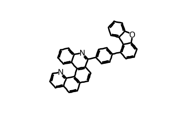 c1cnc2c(c1)ccc1ccc3c(-c4ccc(-c5cccc6oc7ccccc7c56)cc4)nc4ccccc4c3c12